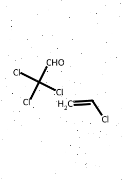 C=CCl.O=CC(Cl)(Cl)Cl